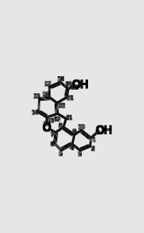 Oc1ccc2ccc3c(c2c1)Cc1c(ccc2ccc(O)cc12)O3